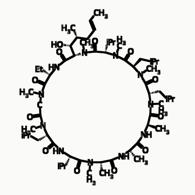 C/C=C/C[C@@H](C)[C@@H](O)[C@H]1C(=O)N[C@@H](CC)C(=O)N(C)CC(=O)N(C)[C@@H](CC(C)C)C(=O)N[C@@H](C(C)C)C(=O)N(C)[C@@H](C)C(=O)N[C@@H](C)C(=O)N[C@H](C)C(=O)N(C)[C@@H](CC(C)C)C(=O)N(C)[C@H](CC(C)C)C(=O)N(C)[C@@H](C(C)C)C(=O)N1C